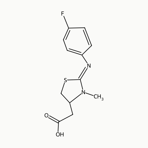 CN1C(=Nc2ccc(F)cc2)SCC1CC(=O)O